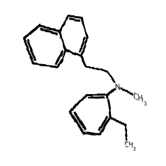 CCc1ccccc1N(C)CCc1cccc2ccccc12